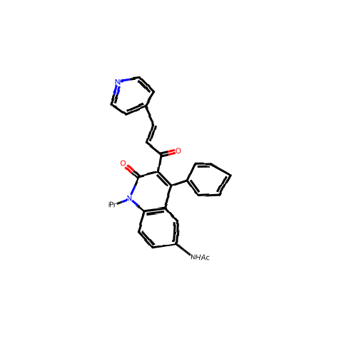 CC(=O)Nc1ccc2c(c1)c(-c1ccccc1)c(C(=O)/C=C/c1ccncc1)c(=O)n2C(C)C